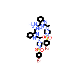 CC(c1nc(CNC(N)c2nc(C(C)N3CCN(S(=O)(=O)c4ccc(Br)cc4)CC3)nc3ccccc23)c2ccccc2n1)N1CCN(S(=O)(=O)c2ccc(Br)cc2)CC1